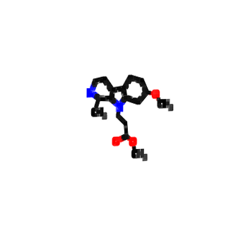 COC(=O)CCn1c2cc(OC)ccc2c2ccnc(C)c21